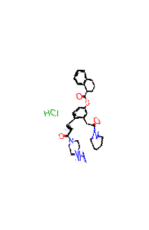 Cl.O=C(Oc1ccc(/C=C/C(=O)N2CCNCC2)c(CC(=O)N2CCCC2)c1)C1CCCc2ccccc21